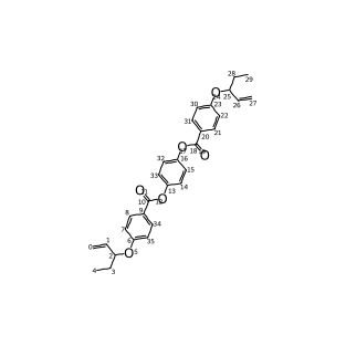 C=CC(CC)Oc1ccc(C(=O)Oc2ccc(OC(=O)c3ccc(OC(C=C)CC)cc3)cc2)cc1